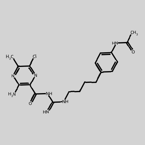 CC(=O)Nc1ccc(CCCCNC(=N)NC(=O)c2nc(Cl)c(C)nc2N)cc1